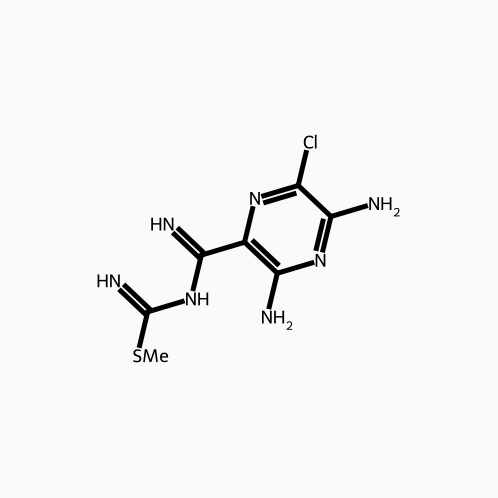 CSC(=N)NC(=N)c1nc(Cl)c(N)nc1N